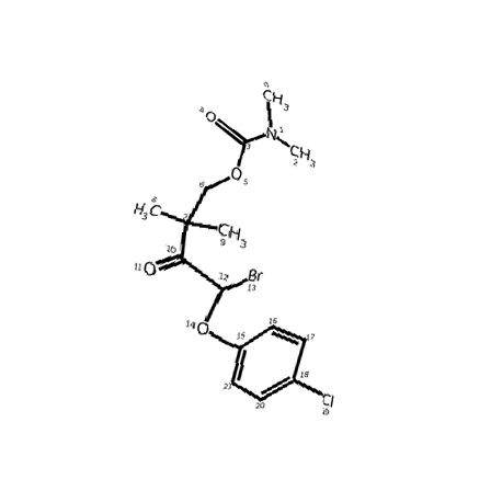 CN(C)C(=O)OCC(C)(C)C(=O)C(Br)Oc1ccc(Cl)cc1